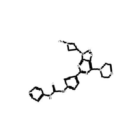 CC(C)(C)N1CC(n2nnc3c(N4CCOCC4)nc(-c4ccc(NC(=O)Nc5ccncc5)cc4)nc32)C1